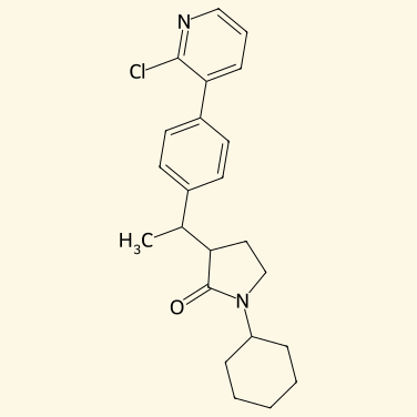 CC(c1ccc(-c2cccnc2Cl)cc1)C1CCN(C2CCCCC2)C1=O